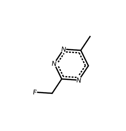 Cc1cnc(CF)nn1